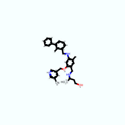 Cc1cc(CNC(CCO)C(=O)O)c(OCc2cncc(C#N)c2)cc1NCc1cccc(-c2ccccc2)c1C